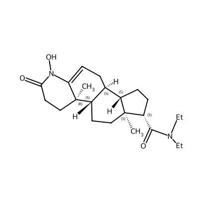 CCN(CC)C(=O)[C@H]1CC[C@H]2[C@@H]3CC=C4N(O)C(=O)CC[C@]4(C)[C@H]3CC[C@]12C